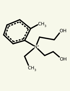 CC[N+](CCO)(CCO)c1ccccc1C